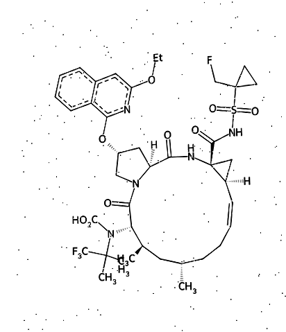 CCOc1cc2ccccc2c(O[C@@H]2C[C@H]3C(=O)N[C@]4(C(=O)NS(=O)(=O)C5(CF)CC5)C[C@H]4/C=C\CC[C@H](C)C[C@@H](C)[C@H](N(C(=O)O)C(C)(C)C(F)(F)F)C(=O)N3C2)n1